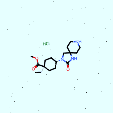 CC[C@]1(C(=O)OC)CC[C@H](N2CC3(CCNCC3)NC2=O)CC1.Cl